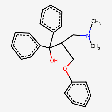 CN(C)CC(COc1ccccc1)C(O)(c1ccccc1)c1ccccc1